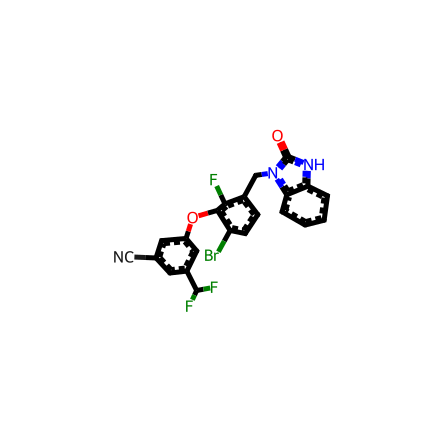 N#Cc1cc(Oc2c(Br)ccc(Cn3c(=O)[nH]c4ccccc43)c2F)cc(C(F)F)c1